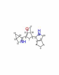 C1CC2=C(C1)C(C1CC(C3NCC4CC43)=C3OCC31)NC2